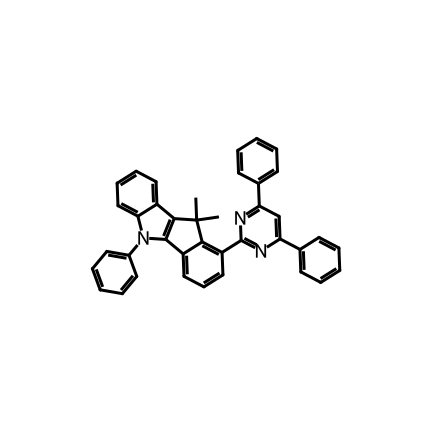 CC1(C)c2c(-c3nc(-c4ccccc4)cc(-c4ccccc4)n3)cccc2-c2c1c1ccccc1n2-c1ccccc1